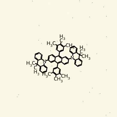 Cc1cc(-c2c3ccc(N4c5ccccc5C(C)(C)c5ccccc54)cc3c(-c3cc(C)c(C)c(C)c3)c3ccc(N4c5ccccc5C(C)(C)c5ccccc54)cc23)cc(C)c1C